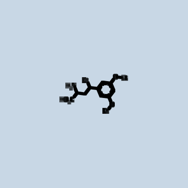 CCOc1cc(OCC)cc(C(CC)CC(N)C(=O)O)c1